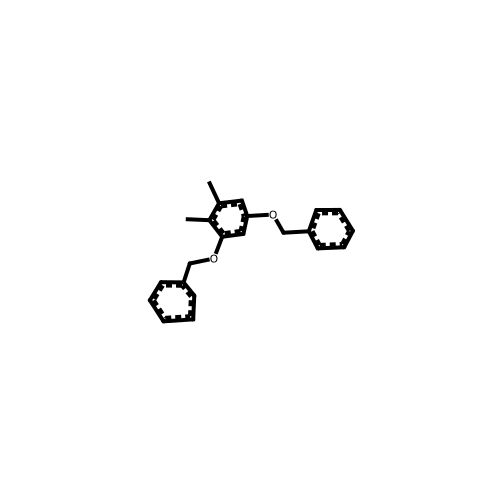 Cc1cc(OCc2ccccc2)cc(OCc2ccccc2)c1C